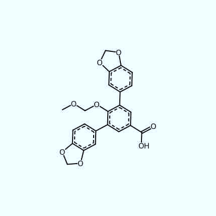 COCOc1c(-c2ccc3c(c2)OCO3)cc(C(=O)O)cc1-c1ccc2c(c1)OCO2